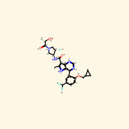 Cc1[nH]c2c(-c3cc(C(F)F)ccc3OCC3CC3)ncnc2c1C(=O)N[C@H]1CN(C(=O)[C@H](C)O)C[C@@H]1F